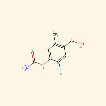 NC(=O)Oc1cc(C(F)(F)F)c(CO)cc1F